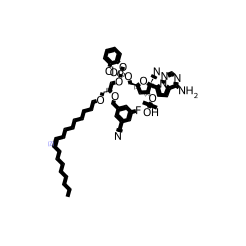 CCCCCCCC/C=C\CCCCCCCCOC[C@H](COP(=O)(OC[C@@H]1C[C@@H](OC(C)(C)O)[C@](C#N)(c2ccc3c(N)ncnn23)O1)Oc1ccccc1Cl)OCc1cc(F)cc(C#N)c1